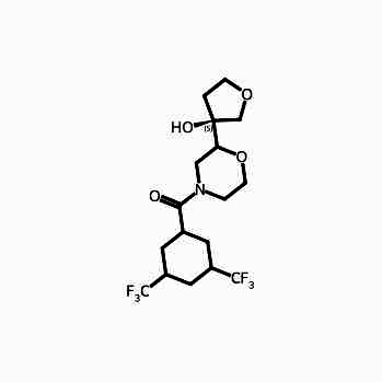 O=C(C1CC(C(F)(F)F)CC(C(F)(F)F)C1)N1CCOC([C@]2(O)CCOC2)C1